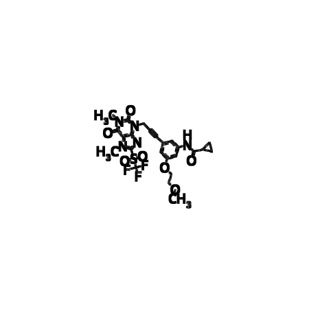 COCCOc1cc(C#CCn2c(=O)n(C)c(=O)c3c2nc(S(=O)(=O)C(F)(F)F)n3C)cc(NC(=O)C2CC2)c1